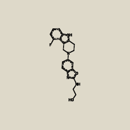 OCCNc1nc2ccc(N3CCc4[nH]c5cccc(F)c5c4C3)cc2o1